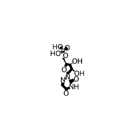 O=c1cnn([C@@H]2O[C@@H](COP(=O)(O)O)[C@H](O)[C@H]2O)c(=O)[nH]1